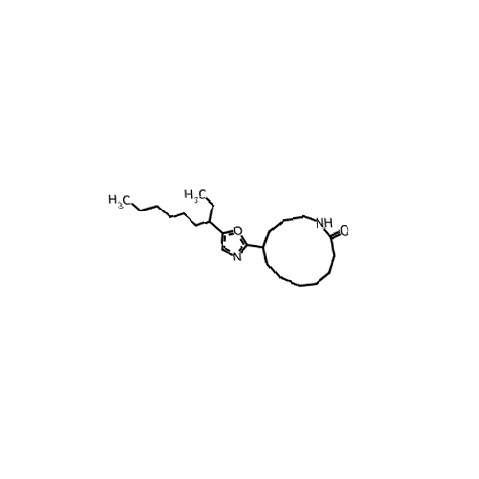 CCCCCCC(CC)c1cnc(C2CCCCCCC(=O)NCCC2)o1